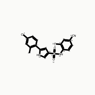 Cc1cc(Cl)ccc1-c1cc(S(=O)(=O)Nc2ccc(C#N)cc2F)c[nH]1